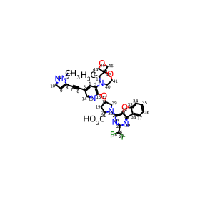 C[C@@H]1N(c2cc(C#Cc3ccnn3C)cnc2O[C@H]2C[C@@H](C(=O)O)N(c3nc(C(F)F)nc4c3oc3ccccc34)C2)CCOC12COC2